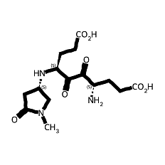 CN1C[C@@H](N[C@@H](CCC(=O)O)C(=O)C(=O)[C@@H](N)CCC(=O)O)CC1=O